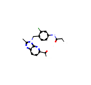 COC(=O)c1ccc2nc(C)n(Cc3ccc(NC(=O)CC(C)(C)C)cc3Cl)c2n1